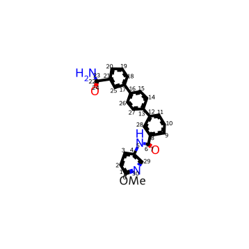 COc1ccc(NC(=O)c2cccc(-c3ccc(-c4cccc(C(N)=O)c4)cc3)c2)cn1